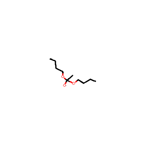 CCCCOC(C)([O])OCCCC